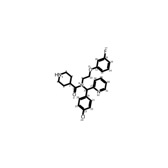 O=C(C1CCNCC1)N(CCOc1cccc(F)c1)C(c1ccc(Cl)cc1)c1ccccn1